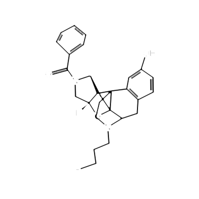 O=C(c1ccccc1)N1C[C@H]2OC34CCC1C2C31CCN(CCCF)C4Cc2ccc(O)cc21